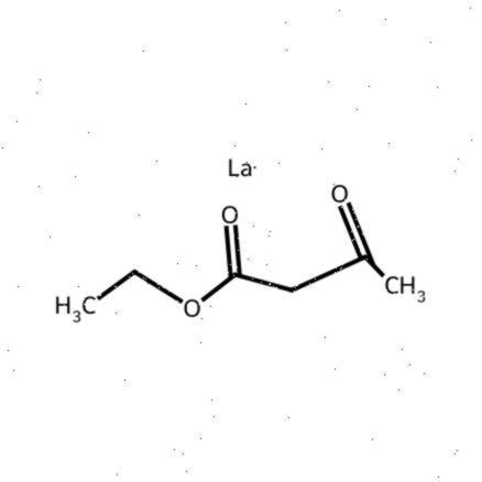 CCOC(=O)CC(C)=O.[La]